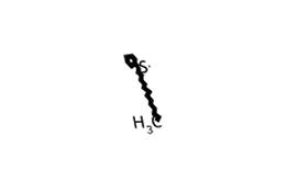 CCCCCCCCCCCCCC([S])c1ccccc1